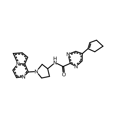 O=C(NC1CCN(c2nccn3cccc23)C1)c1ncc(C2=CCCC2)cn1